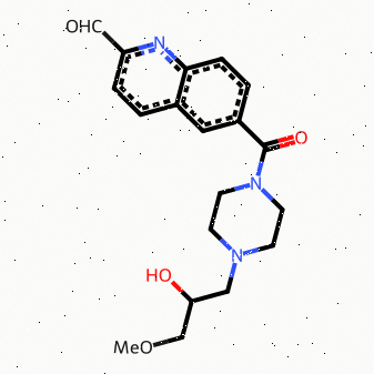 COCC(O)CN1CCN(C(=O)c2ccc3nc(C=O)ccc3c2)CC1